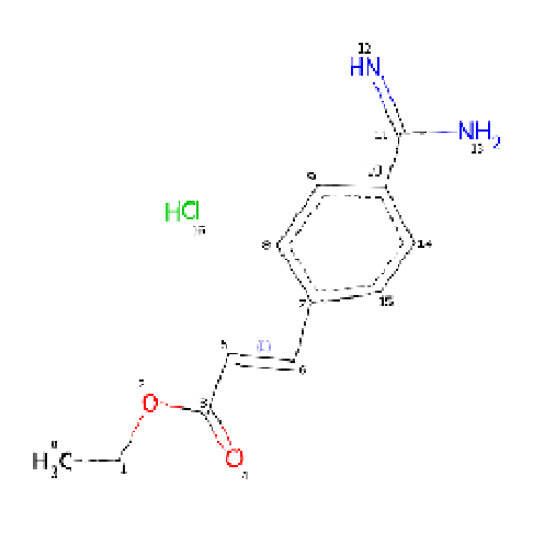 CCOC(=O)/C=C/c1ccc(C(=N)N)cc1.Cl